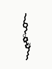 CCCCCCc1ccc(-c2ccc(OCCCC3CCC(CCCCC)CC3)cc2)nc1